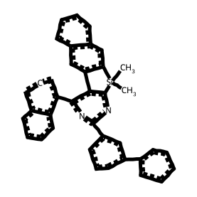 C[Si]1(C)c2cc3ccccc3cc2-c2c(-c3cccc4ccccc34)nc(-c3cccc(-c4ccccc4)c3)nc21